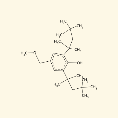 COCc1cc(C(C)(C)CC(C)(C)C)c(O)c(C(C)(C)CC(C)(C)C)c1